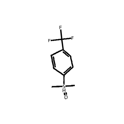 C[SH](C)(=O)c1ccc(C(F)(F)F)cc1